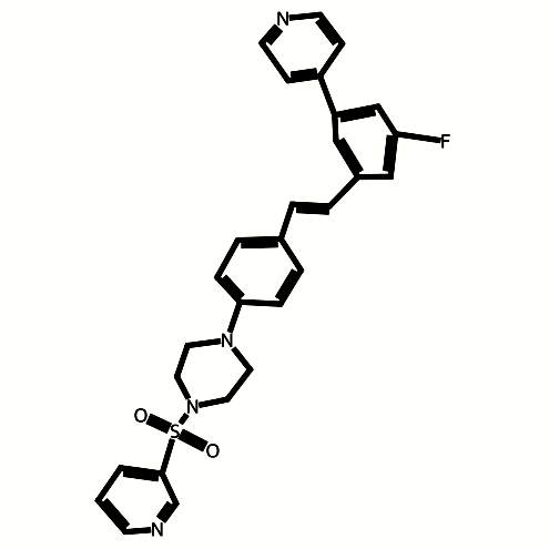 O=S(=O)(c1cccnc1)N1CCN(c2ccc(C=Cc3cc(F)cc(-c4ccncc4)c3)cc2)CC1